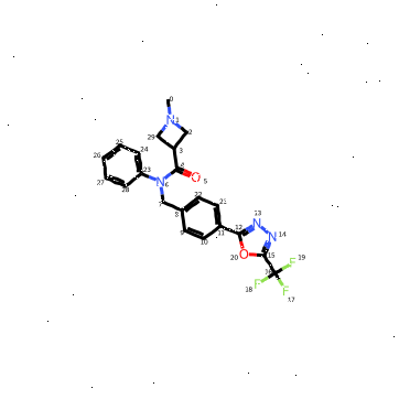 CN1CC(C(=O)N(Cc2ccc(-c3nnc(C(F)(F)F)o3)cc2)c2ccccc2)C1